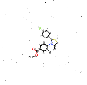 C=C1CSC(c2ccc(F)cc2)N1c1ccc(C(=O)OCCC)cc1C